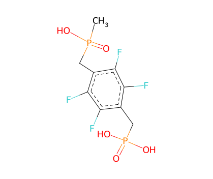 CP(=O)(O)Cc1c(F)c(F)c(CP(=O)(O)O)c(F)c1F